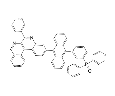 O=P(c1ccccc1)(c1ccccc1)c1cccc(-c2c3ccccc3c(-c3ccc4c(c3)nc(-c3ccccc3)c3ncc5ccccc5c34)c3ccccc23)c1